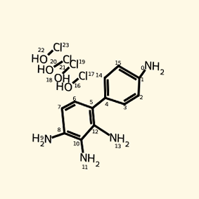 Nc1ccc(-c2ccc(N)c(N)c2N)cc1.OCl.OCl.OCl.OCl